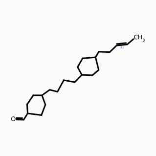 C/C=C/CCC1CCC(CCCCC2CCC(C=O)CC2)CC1